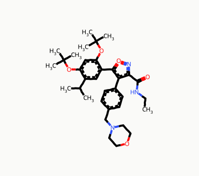 CCNC(=O)c1noc(-c2cc(C(C)C)c(OC(C)(C)C)cc2OC(C)(C)C)c1-c1ccc(CN2CCOCC2)cc1